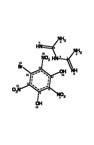 N=C(N)NC(=N)N.O=[N+]([O-])c1c(O)c([N+](=O)[O-])c(Br)c([N+](=O)[O-])c1O